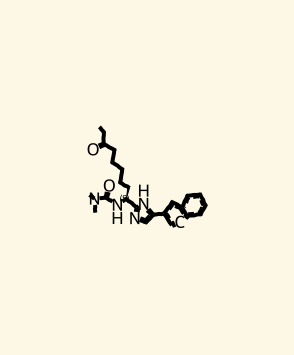 CCC(=O)CCCCC[C@H](NC(=O)N(C)C)c1ncc(-c2ccc3ccccc3c2)[nH]1